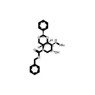 CCCCN[C@@H]1[C@@H]2O[C@H](c3ccccc3)OC[C@H]2N(C(=O)OCc2ccccc2)C[C@H]1O